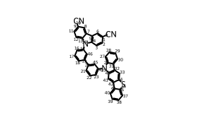 N#Cc1ccc2c(c1)c1cc(C#N)ccc1n2-c1cccc(-c2cccc(-n3c4ccccc4c4cc5sc6ccccc6c5cc43)c2)c1